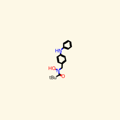 CC(C)(C)C(=O)N(O)Cc1ccc(Nc2ccccc2)cc1